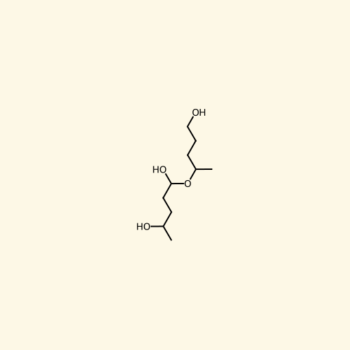 CC(O)CCC(O)OC(C)CCCO